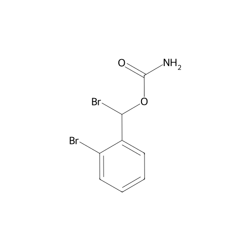 NC(=O)OC(Br)c1ccccc1Br